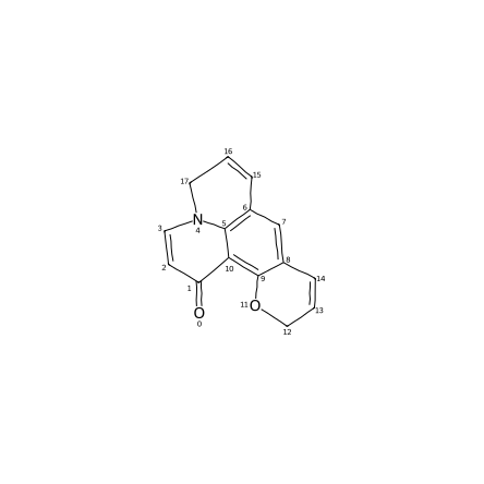 O=c1ccn2c3c(cc4c(c13)OCC=C4)C=CC2